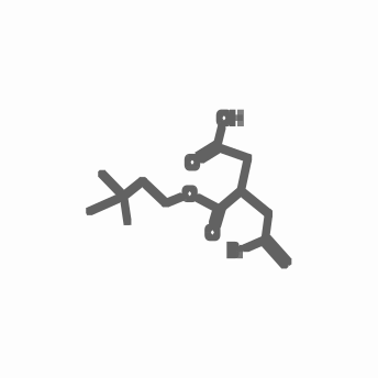 C=C(Br)CC(CC(=O)O)C(=O)OCCC(C)(C)C